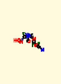 N#Cc1ccc(OCc2cc(OC3CCN(Cc4nc5c(F)cc(/C=C/C(=O)O)cc5n4C[C@@H]4CCO4)CC3)ccc2F)c(F)c1